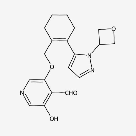 O=Cc1c(O)cncc1OCC1=C(c2ccnn2C2COC2)CCCC1